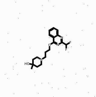 CC1(O)CCN(CCCOc2nc(C(F)F)nc3ccccc23)CC1